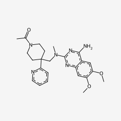 COc1cc2nc(N(C)CC3(c4ccccn4)CCN(C(C)=O)CC3)nc(N)c2cc1OC